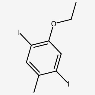 CCOc1cc(I)c(C)cc1I